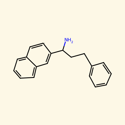 NC(CCc1ccccc1)c1[c]cc2ccccc2c1